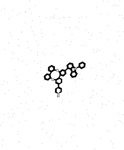 C1=CC(C2=CC3=C(CC2)c2ccc(-c4cccc5c4c4ccccc4n5-c4ccccc4)cc2Oc2ccccc2-c2ccccc2O3)=CCN1